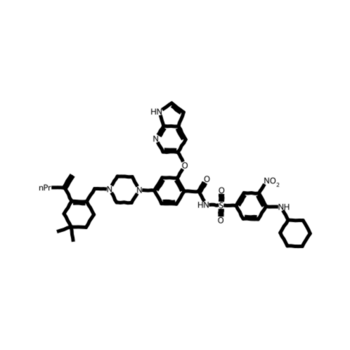 C=C(CCC)C1=C(CN2CCN(c3ccc(C(=O)NS(=O)(=O)c4ccc(NC5CCCCC5)c([N+](=O)[O-])c4)c(Oc4cnc5[nH]ccc5c4)c3)CC2)CCC(C)(C)C1